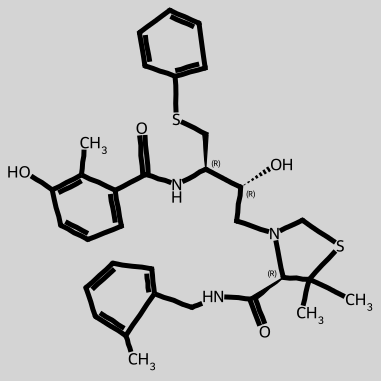 Cc1ccccc1CNC(=O)[C@H]1N(C[C@@H](O)[C@H](CSc2ccccc2)NC(=O)c2cccc(O)c2C)CSC1(C)C